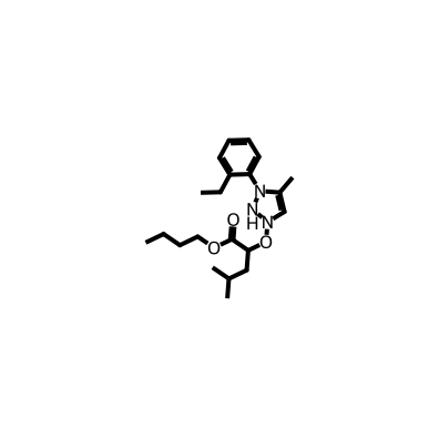 CCCCOC(=O)C(CC(C)C)ON1C=C(C)N(c2ccccc2CC)N1